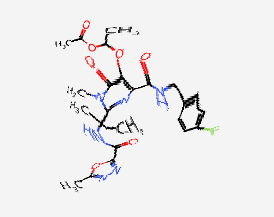 CC(=O)OC(C)Oc1c(C(=O)NCc2ccc(F)cc2)nc(C(C)(C)NC(=O)c2nnc(C)o2)n(C)c1=O